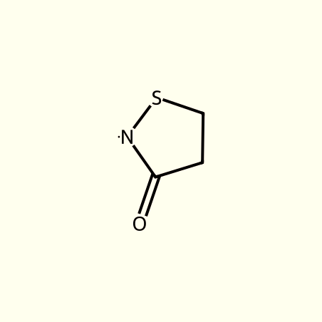 O=C1CCS[N]1